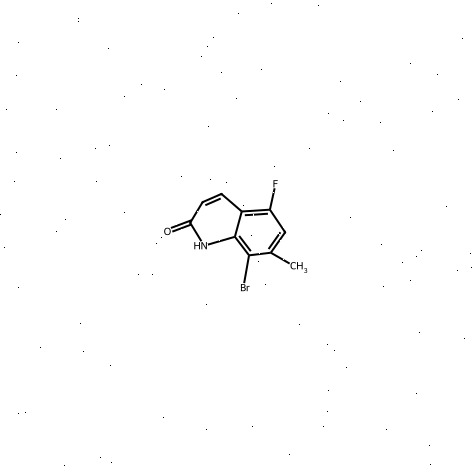 Cc1cc(F)c2ccc(=O)[nH]c2c1Br